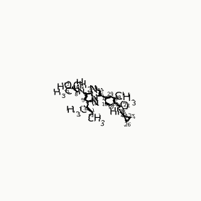 CC=C(C)c1cc(NCC(C)(C)O)c2ncc(-c3ccc(C(=O)NC4CC4)c(C)c3)n2n1